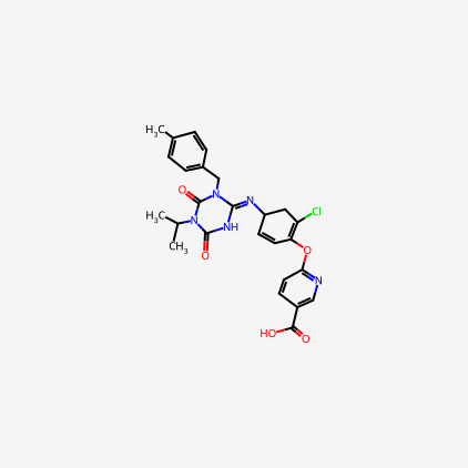 Cc1ccc(Cn2c(=O)n(C(C)C)c(=O)[nH]/c2=N\C2C=CC(Oc3ccc(C(=O)O)cn3)=C(Cl)C2)cc1